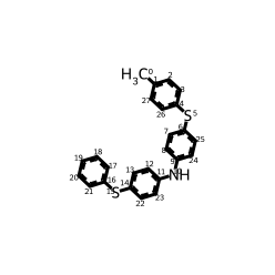 Cc1ccc(Sc2ccc(Nc3ccc(Sc4ccccc4)cc3)cc2)cc1